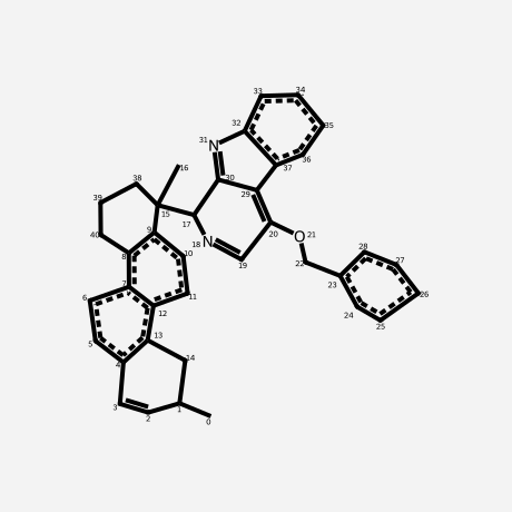 CC1C=Cc2ccc3c4c(ccc3c2C1)C(C)(C1N=CC(OCc2ccccc2)=C2C1=Nc1c[c]ccc12)CCC4